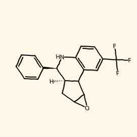 FC(F)(F)c1ccc2c(c1)C1C3OC3C[C@H]1[C@@H](c1ccccc1)N2